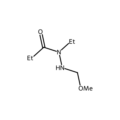 CCC(=O)N(CC)NCOC